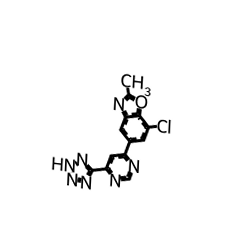 Cc1nc2cc(-c3cc(-c4nn[nH]n4)ncn3)cc(Cl)c2o1